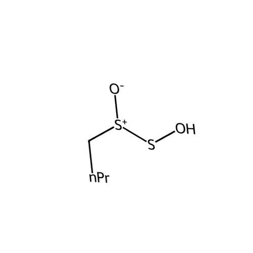 CCCC[S+]([O-])SO